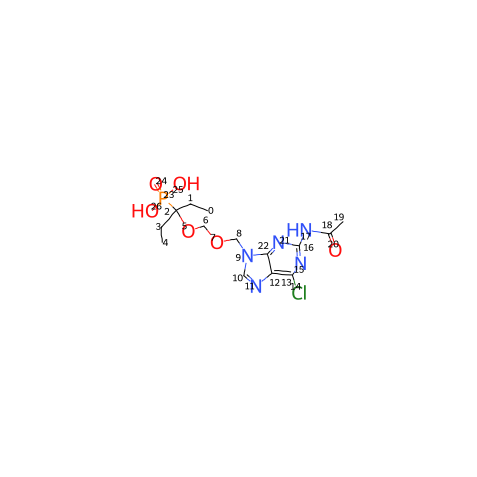 CCC(CC)(OCOCn1cnc2c(Cl)nc(NC(C)=O)nc21)P(=O)(O)O